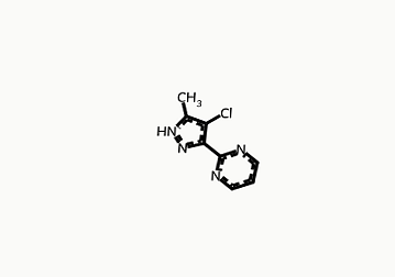 Cc1[nH]nc(-c2ncccn2)c1Cl